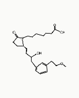 COCCc1cccc(CC(O)CC[C@H]2CCC(=O)N2CCCCCCC(=O)O)c1